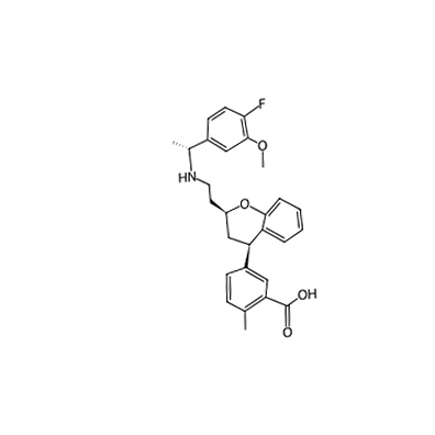 COc1cc([C@@H](C)NCC[C@@H]2C[C@H](c3ccc(C)c(C(=O)O)c3)c3ccccc3O2)ccc1F